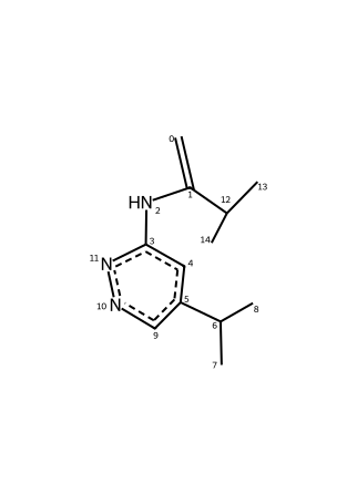 C=C(Nc1cc(C(C)C)cnn1)C(C)C